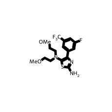 COCCN(CCOC)c1sc(N)nc1-c1cc(F)cc(C(F)(F)F)c1